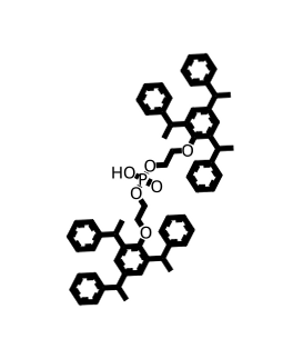 CC(c1ccccc1)c1cc(C(C)c2ccccc2)c(OCCOP(=O)(O)OCCOc2c(C(C)c3ccccc3)cc(C(C)c3ccccc3)cc2C(C)c2ccccc2)c(C(C)c2ccccc2)c1